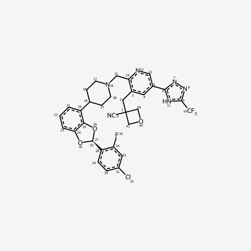 N#CC1(Cc2cc(-c3nnc(C(F)(F)F)[nH]3)cnc2CN2CCC(c3cccc4c3O[C@@H](c3ccc(Cl)cc3F)O4)CC2)COC1